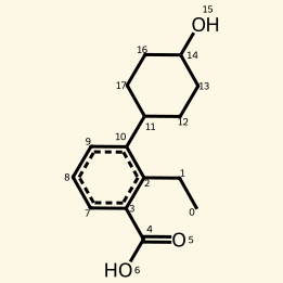 CCc1c(C(=O)O)cccc1C1CCC(O)CC1